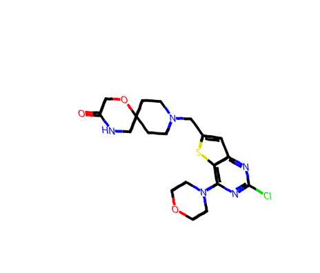 O=C1COC2(CCN(Cc3cc4nc(Cl)nc(N5CCOCC5)c4s3)CC2)CN1